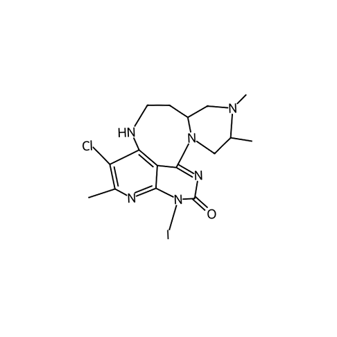 Cc1nc2c3c(nc(=O)n2I)N2CC(C)N(C)CC2CCNc3c1Cl